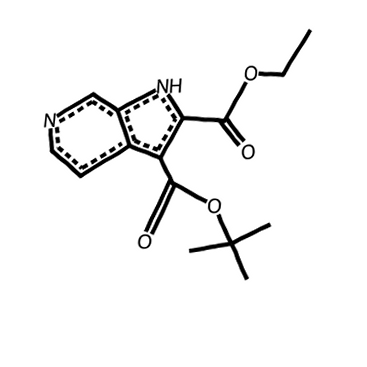 CCOC(=O)c1[nH]c2cnccc2c1C(=O)OC(C)(C)C